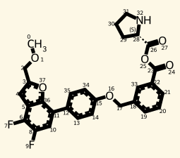 COCc1cc2c(F)c(F)cc(-c3ccc(OCc4cccc(C(=O)OC(=O)[C@@H]5CCCN5)c4)cc3)c2o1